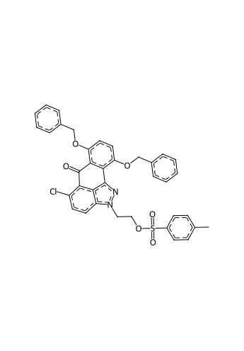 Cc1ccc(S(=O)(=O)OCCn2nc3c4c(c(Cl)ccc42)C(=O)c2c(OCc4ccccc4)ccc(OCc4ccccc4)c2-3)cc1